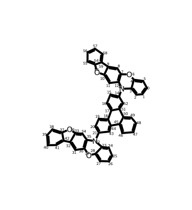 c1ccc2c(c1)Oc1cc3c(cc1N2c1ccc2c4ccc(N5c6ccccc6Oc6cc7c(cc65)oc5ccccc57)cc4c4ccccc4c2c1)oc1ccccc13